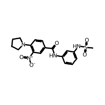 CS(=O)(=O)Nc1cccc(NC(=O)c2ccc(N3CCCC3)c([N+](=O)[O-])c2)c1